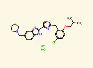 CC(C)COc1ccc(Cl)cc1Cc1nc(-c2nc3cc(CN4CCCC4)ccc3[nH]2)co1.Cl.Cl